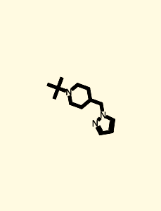 CC(C)(C)N1CCC(Cn2cccn2)CC1